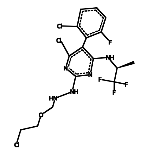 C[C@H](Nc1nc(NNCOCCCl)nc(Cl)c1-c1c(F)cccc1Cl)C(F)(F)F